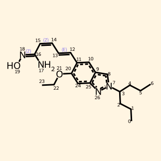 CCCC(CCC)n1cc2cc(/C=C/C=C\C(N)=N\O)c(OCC)cc2n1